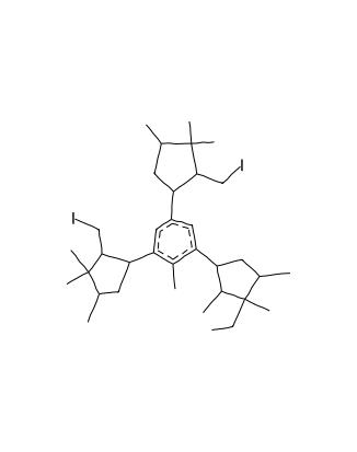 CCC1(C)C(C)CC(c2cc(C3CC(C)C(C)(C)C3CI)cc(C3CC(C)C(C)(C)C3CI)c2C)C1C